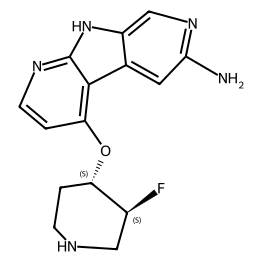 Nc1cc2c(cn1)[nH]c1nccc(O[C@H]3CCNC[C@@H]3F)c12